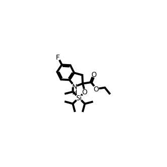 CCOC(=O)C1(O[Si](C(C)C)(C(C)C)C(C)C)Cc2cc(F)ccc2N1